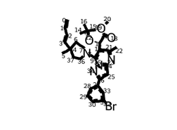 C=CC=CC1(C)CCN(c2c([C@H](OC(C)(C)C)C(=O)OC)c(C)nc3cc(-c4cccc(Br)c4)nn23)CC1